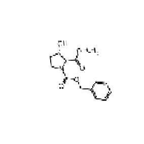 COC(=O)[C@@H]1[C@@H](O)CCN1C(=O)OCc1ccccc1